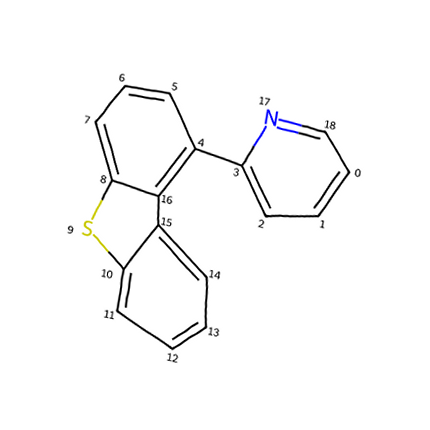 c1ccc(-c2cccc3sc4ccccc4c23)nc1